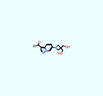 CC(C)C(=O)c1cnn2cc(N3CC(CO)(CO)C3)ccc12